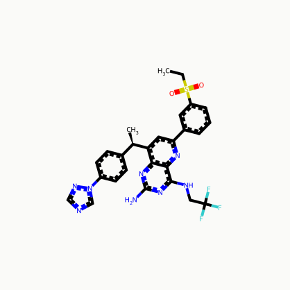 CCS(=O)(=O)c1cccc(-c2cc([C@H](C)c3ccc(-n4cncn4)cc3)c3nc(N)nc(NCC(F)(F)F)c3n2)c1